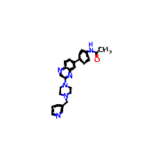 CC(=O)Nc1ccc(-c2ccc3ncc(N4CCN(Cc5cccnc5)CC4)nc3c2)cc1